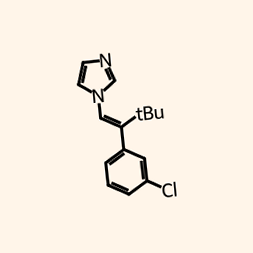 CC(C)(C)C(=Cn1ccnc1)c1cccc(Cl)c1